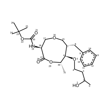 CC(O)CCO[C@@H]1[C@@H](Cc2ccccc2)COC[C@H](NC(=O)OC(C)(C)C)C(=O)O[C@H]1C